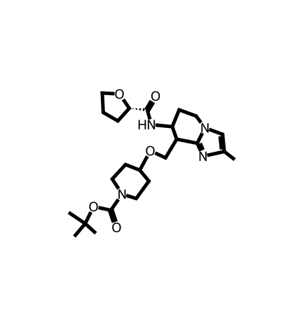 Cc1cn2c(n1)C(COC1CCN(C(=O)OC(C)(C)C)CC1)C(NC(=O)[C@@H]1CCCO1)CC2